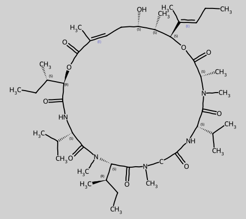 CC/C=C(\C)[C@H]1OC(=O)[C@H](C)N(C)C(=O)[C@H](C(C)C)NC(=O)CN(C)C(=O)[C@H]([C@H](C)CC)N(C)C(=O)[C@H](C(C)C)NC(=O)[C@@H]([C@@H](C)CC)OC(=O)/C(C)=C/C[C@H](O)[C@@H]1C